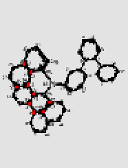 c1ccc(-c2ccccc2-c2cccc(N(c3ccccc3-c3ccccc3)c3ccccc3-c3cccc(-c4cccc5ccccc45)c3)c2)cc1